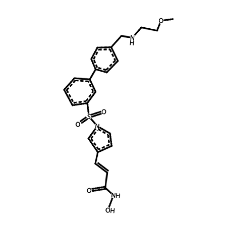 COCCNCc1ccc(-c2cccc(S(=O)(=O)n3ccc(/C=C/C(=O)NO)c3)c2)cc1